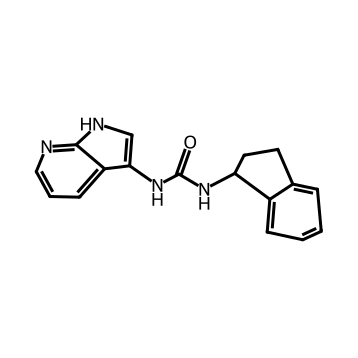 O=C(Nc1c[nH]c2ncccc12)NC1CCc2ccccc21